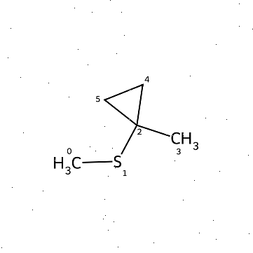 CSC1(C)CC1